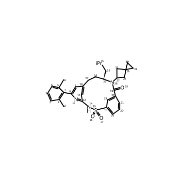 Cc1cccc(C)c1-c1cc2cc(n1)NS(=O)(=O)c1cccc(c1)C(=O)N(C1CC3(CC3)C1)[C@H](CC(C)C)CC2